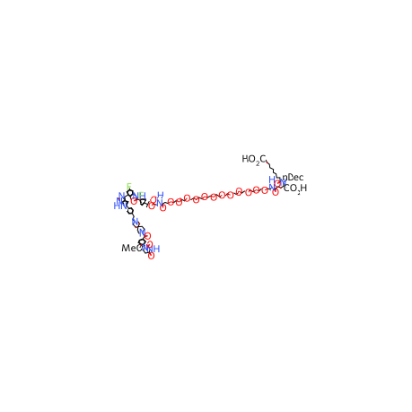 CCCCCCCCCCCN(C(=O)CCCCCCCCCC(=O)O)[C@@H](CCC(=O)NCCOCCOCCOCCOCCOCCOCCOCCOCCOCCOCCOCCOCCC(=O)NCC(=O)OC(C)(C)c1ccc(C(=O)Nc2cc(F)cc(-c3ncnc4[nH]c(-c5ccc(CCN6CCC7(CC6)CCN(C(=O)c6ccc(OC)c(N8CCC(=O)NC8=O)c6)CC7)cc5)cc34)c2C)c(F)c1)C(=O)O